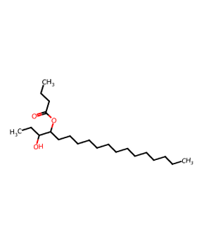 CCCCCCCCCCCCCCC(OC(=O)CCC)C(O)CC